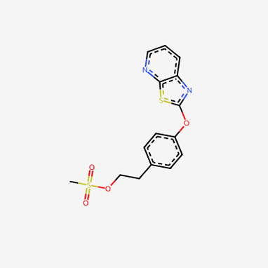 CS(=O)(=O)OCCc1ccc(Oc2nc3cccnc3s2)cc1